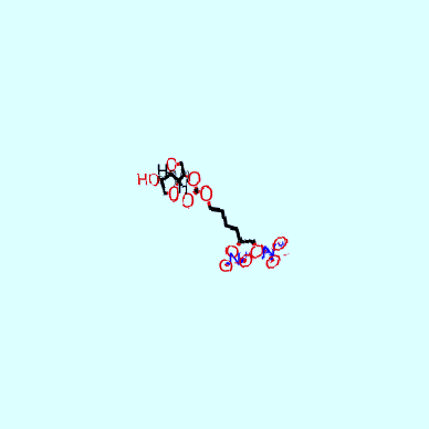 O=C(OCCCCC(CO[N+](=O)[O-])O[N+](=O)[O-])O[C@@H]1CO[C@H]2[C@@H]1OC[C@H]2O